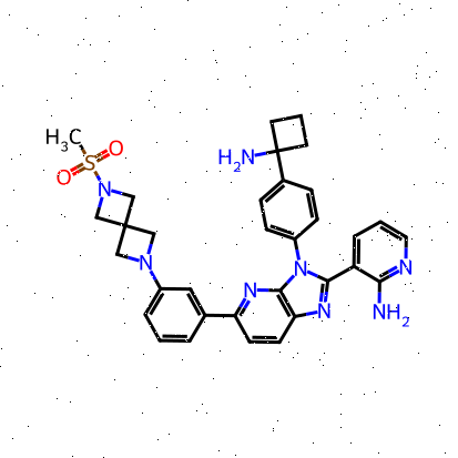 CS(=O)(=O)N1CC2(CN(c3cccc(-c4ccc5nc(-c6cccnc6N)n(-c6ccc(C7(N)CCC7)cc6)c5n4)c3)C2)C1